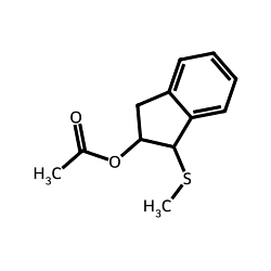 CSC1c2ccccc2CC1OC(C)=O